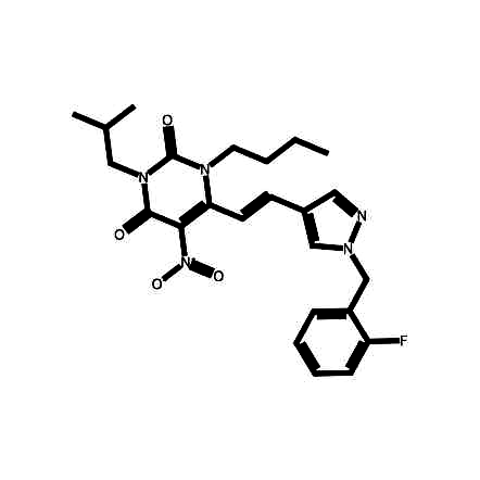 CCCCn1c(C=Cc2cnn(Cc3ccccc3F)c2)c([N+](=O)[O-])c(=O)n(CC(C)C)c1=O